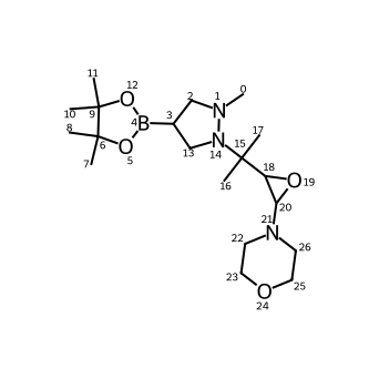 CN1CC(B2OC(C)(C)C(C)(C)O2)CN1C(C)(C)C1OC1N1CCOCC1